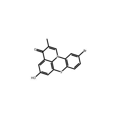 Cc1cn2c3c(cc(O)cc3c1=O)Sc1ccc(Br)cc1-2